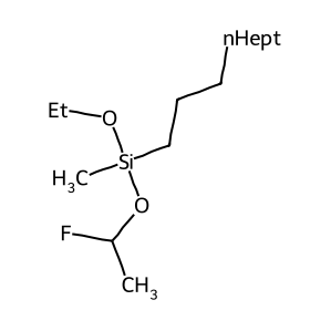 CCCCCCCCCC[Si](C)(OCC)OC(C)F